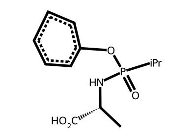 CC(C)P(=O)(N[C@H](C)C(=O)O)Oc1ccccc1